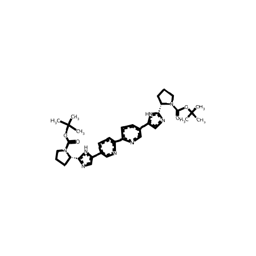 CC(C)(C)OC(=O)N1CCC[C@H]1c1ncc(-c2ccc(-c3ccc(-c4cnc([C@@H]5CCCN5C(=O)OC(C)(C)C)[nH]4)cn3)nc2)[nH]1